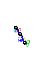 O=C(Nc1ccc(CNC(=S)Nc2ccc(Cl)c(Cl)c2)cc1)c1ccccc1F